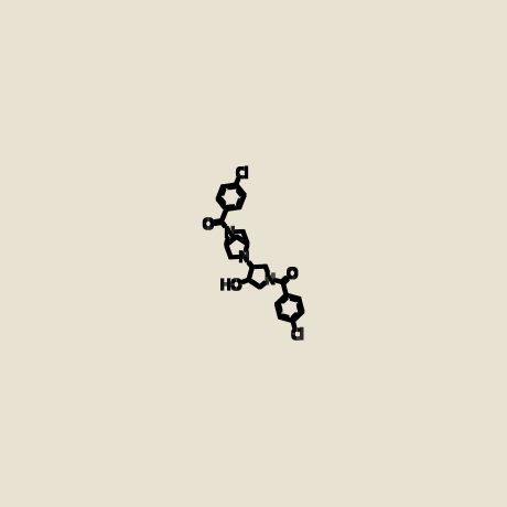 O=C(c1ccc(Cl)cc1)N1CC(O)C(N2CC3CC2CN3C(=O)c2ccc(Cl)cc2)C1